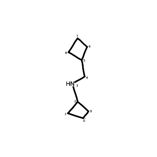 [CH]1CC(NCC2CCC2)C1